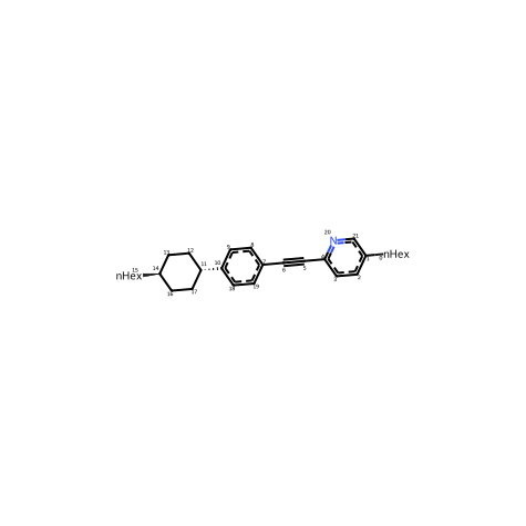 CCCCCCc1ccc(C#Cc2ccc([C@H]3CC[C@H](CCCCCC)CC3)cc2)nc1